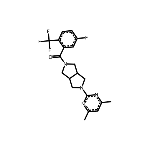 Cc1cc(C)nc(N2CC3CN(C(=O)c4cc(F)ccc4C(F)(F)F)CC3C2)n1